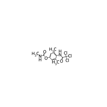 CNC(=O)Oc1cc(C)c(NC(=O)C(Cl)(Cl)Cl)c(C)c1